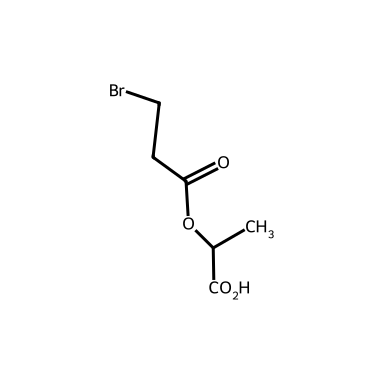 CC(OC(=O)CCBr)C(=O)O